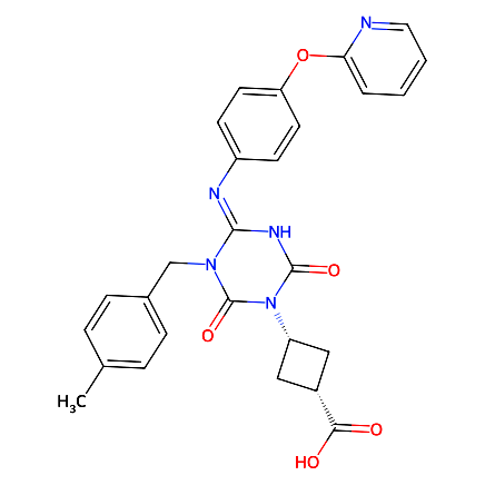 Cc1ccc(Cn2c(=O)n([C@H]3C[C@@H](C(=O)O)C3)c(=O)[nH]/c2=N\c2ccc(Oc3ccccn3)cc2)cc1